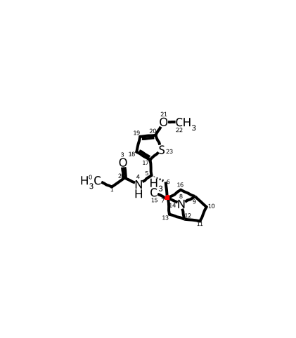 CCC(=O)N[C@@H](CCN1C2CCC1CC(C)C2)c1ccc(OC)s1